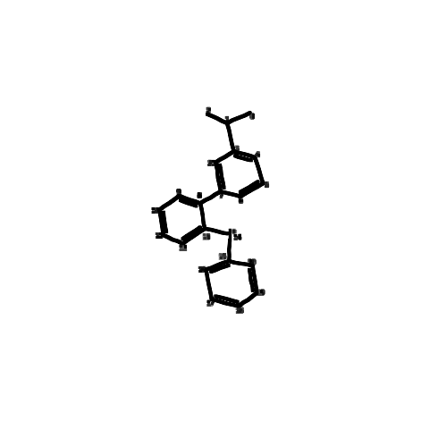 CC(C)c1cccc(-c2ccccc2[I+]c2ccccc2)c1